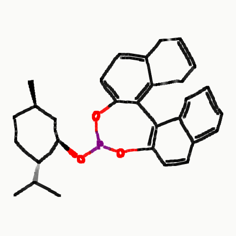 CC(C)[C@@H]1CC[C@@H](C)C[C@H]1Op1oc2ccc3c(c2c2c(ccc4ccccc42)o1)CC=CC3